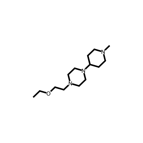 CCOCCN1CCN(C2CCN(C)CC2)CC1